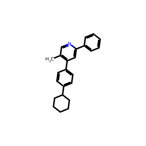 Cc1cnc(-c2ccccc2)cc1-c1ccc(C2CCCCC2)cc1